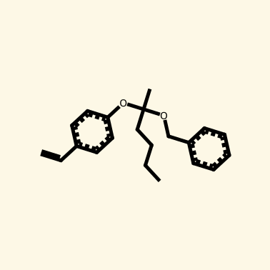 C=Cc1ccc(OC(C)(CCCC)OCc2ccccc2)cc1